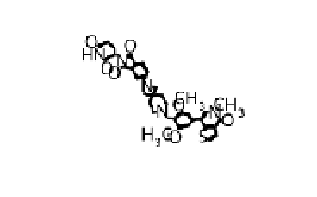 COc1cc(-c2cn(C)c(=O)c3ccsc23)cc(OC)c1CN1CCC2(CC1)CN(c1ccc3c(c1)C(=O)N(C1CCC(=O)NC1=O)C3=O)C2